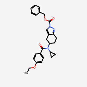 CC(C)(C)COc1ccc(C(=O)N(C2CC2)C2CCc3nn(C(=O)OCc4ccccc4)cc3C2)cc1